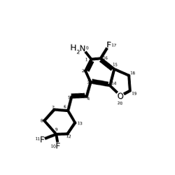 Nc1cc(C=CC2CCC(F)(F)CC2)c2c(c1F)CCO2